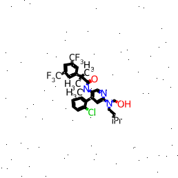 CC(C)CCN(CO)c1cc(-c2ccccc2Cl)c(N(C)C(=O)C(C)(C)c2cc(C(F)(F)F)cc(C(F)(F)F)c2)cn1